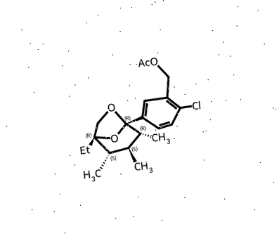 CC[C@@]12CO[C@@](c3ccc(Cl)c(COC(C)=O)c3)(O1)[C@H](C)[C@@H](C)[C@@H]2C